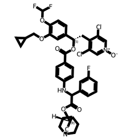 O=C(O[C@@H](Cc1c(Cl)c[n+]([O-])cc1Cl)c1ccc(OC(F)F)c(OCC2CC2)c1)c1ccc(NC(C(=O)O[C@H]2CN3CCC2CC3)c2cccc(F)c2)cc1